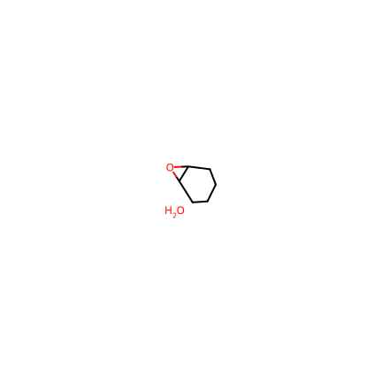 C1CCC2OC2C1.O